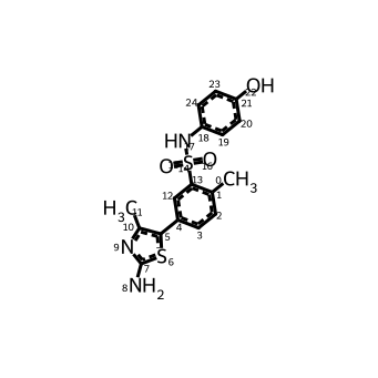 Cc1ccc(-c2sc(N)nc2C)cc1S(=O)(=O)Nc1ccc(O)cc1